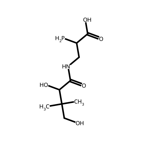 CC(C)(CO)C(O)C(=O)NCC(P)C(=O)O